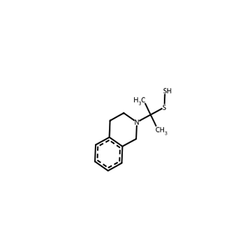 CC(C)(SS)N1CCc2ccccc2C1